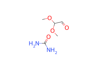 COC(C=O)OC.NC(N)=O